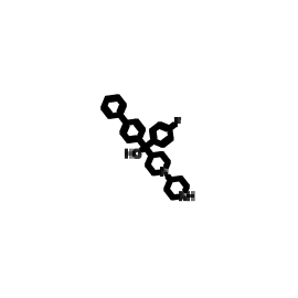 OC(c1ccc(F)cc1)(c1ccc(-c2ccccc2)cc1)C1CCN(C2CCNCC2)CC1